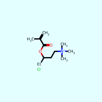 C=C(C)C(=O)OC(CC)CC[N+](C)(C)C.[Cl-]